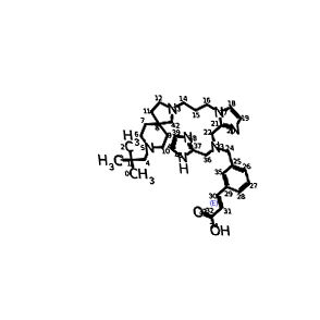 CC(C)(C)CN1CCC2(CC1)CCN(CCCn1ccnc1CN(Cc1cccc(/C=C/C(=O)O)c1)Cc1ncc[nH]1)C2